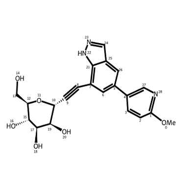 COc1ccc(-c2cc(C#C[C@H]3O[C@H](CO)[C@@H](O)[C@H](O)[C@@H]3O)c3[nH]ncc3c2)cn1